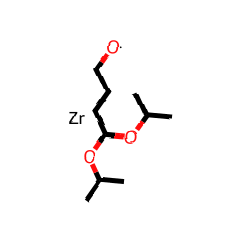 CC(C)OC(CCC[O])OC(C)C.[Zr]